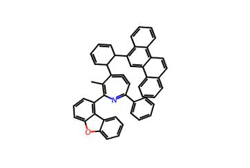 CC1=C(c2cccc3oc4ccccc4c23)N=C(c2ccccc2)C=C=C1C1C=CC=CC1c1cc2c3ccccc3ccc2c2ccccc12